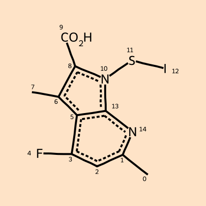 Cc1cc(F)c2c(C)c(C(=O)O)n(SI)c2n1